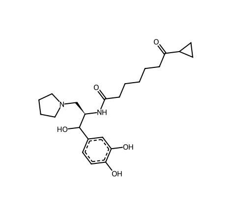 O=C(CCCCCC(=O)C1CC1)N[C@H](CN1CCCC1)C(O)c1ccc(O)c(O)c1